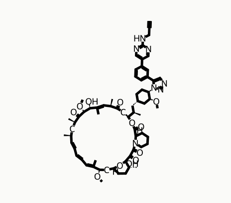 C#CCNc1ncc(-c2cccc(-c3cnnn3[C@H]3CC[C@@H](C[C@@H](C)[C@@H]4CC(=O)[C@H](C)/C=C(\C)[C@@H](O)[C@@H](OC)C(=O)[C@H](C)C[C@H](C)/C=C/C=C/C=C(\C)[C@@H](OC)C[C@@H]5CC[C@@H](C)[C@@](O)(O5)C(=O)C(=O)N5CCCC[C@H]5C(=O)O4)C[C@H]3OC)c2)cn1